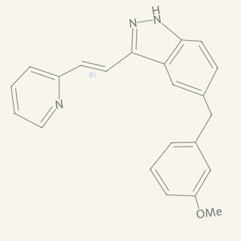 COc1cccc(Cc2ccc3[nH]nc(/C=C/c4ccccn4)c3c2)c1